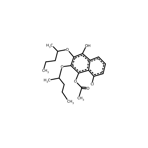 CCCC(C)Oc1c(OC(C)CCC)c(OC(C)=O)c2c(Cl)cccc2c1O